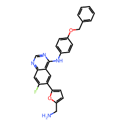 NCc1ccc(-c2cc3c(Nc4ccc(OCc5ccccc5)cc4)ncnc3cc2F)o1